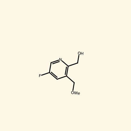 COCc1cc(F)cnc1CO